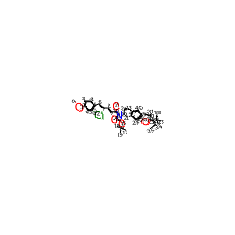 COc1ccc(/C=C/C=C/C(=O)N(C(=O)OC(C)(C)C)[C@H](C)/C=C\c2ccc(O[Si](C(C)C)(C(C)C)C(C)C)cc2)c(Cl)c1